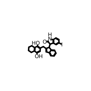 O=C1Nc2ccc(I)cc2C1C1C(Cc2cc(O)c3c(c2O)CCCC3)=Cc2ccccc21